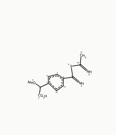 COC(C(=O)O)c1ccc(C(=N)SC(C)=N)cc1